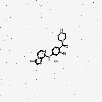 CCc1cc(Nc2nccn3c(I)cnc23)ccc1C(=O)N1CCNCC1.Cl